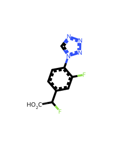 O=C(O)C(F)c1ccc(-n2cnnn2)c(F)c1